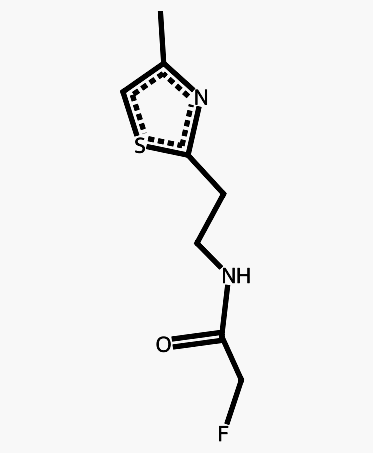 Cc1csc(CCNC(=O)CF)n1